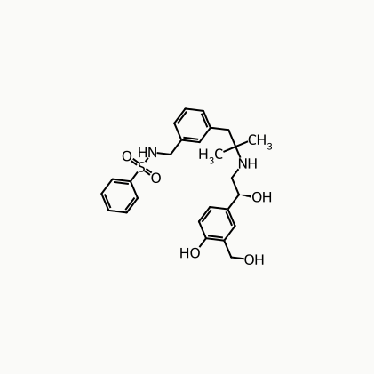 CC(C)(Cc1cccc(CNS(=O)(=O)c2ccccc2)c1)NC[C@@H](O)c1ccc(O)c(CO)c1